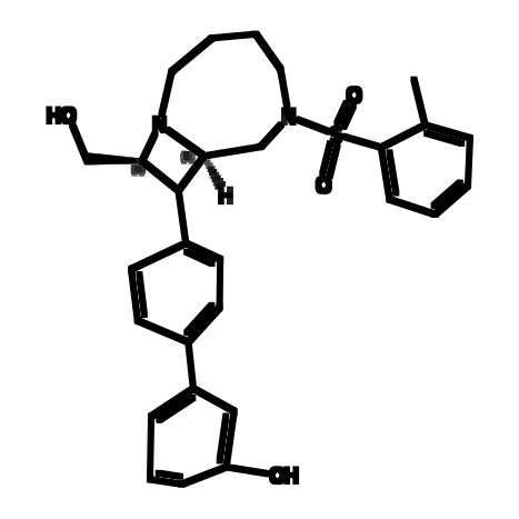 Cc1ccccc1S(=O)(=O)N1CCCCN2[C@H](CO)C(c3ccc(-c4cccc(O)c4)cc3)[C@@H]2C1